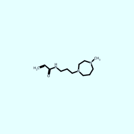 C=CC(=O)NCCCN1CCCN(C)CC1